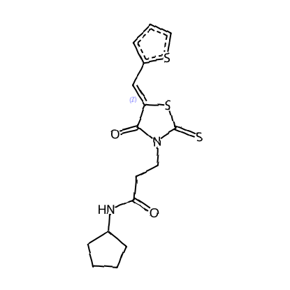 O=C(CCN1C(=O)/C(=C/c2cccs2)SC1=S)NC1CCCC1